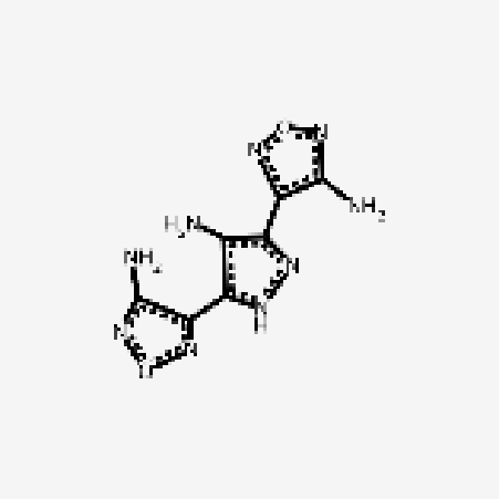 Nc1nonc1-c1n[nH]c(-c2nonc2N)c1N